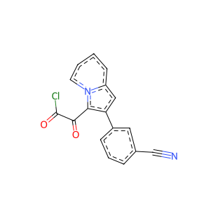 N#Cc1cccc(-c2cc3ccccn3c2C(=O)C(=O)Cl)c1